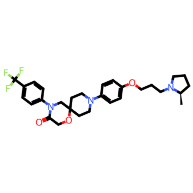 C[C@@H]1CCCN1CCCOc1ccc(N2CCC3(CC2)CN(c2ccc(C(F)(F)F)cc2)C(=O)CO3)cc1